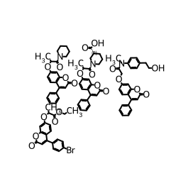 CC(Oc1ccc2c(-c3ccccc3)cc(=O)oc2c1)C(=O)N1CCCCC1.CC(Oc1ccc2c(-c3ccccc3)cc(=O)oc2c1)C(=O)N1CCC[C@@H](C(=O)O)C1.CCOC(=O)C(C)Oc1ccc2c(-c3ccc(Br)cc3)cc(=O)oc2c1.CN(C(=O)COc1ccc2c(-c3ccccc3)cc(=O)oc2c1)c1ccc(CCO)cc1